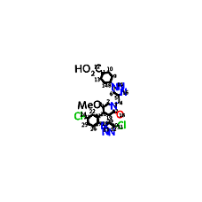 COc1cn(Cc2cn(-c3ccc(C(=O)O)cc3)nn2)c(=O)cc1-c1cc(Cl)ccc1-n1cc(Cl)nn1